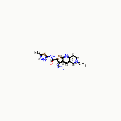 CCc1nnc(NC(=O)c2sc3nc4c(cc3c2N)CN(C)CC4)s1